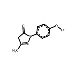 CCOc1ccc(N2N=C(C)CC2=O)cc1